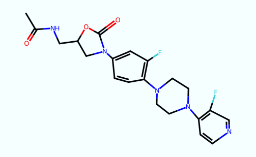 CC(=O)NCC1CN(c2ccc(N3CCN(c4ccncc4F)CC3)c(F)c2)C(=O)O1